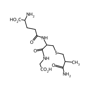 CC(CSCC(NC(=O)CCC(N)C(=O)O)C(=O)NCC(=O)O)C(N)=O